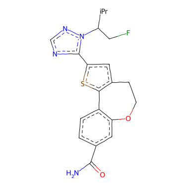 CC(C)C(CF)n1ncnc1-c1cc2c(s1)-c1ccc(C(N)=O)cc1OCC2